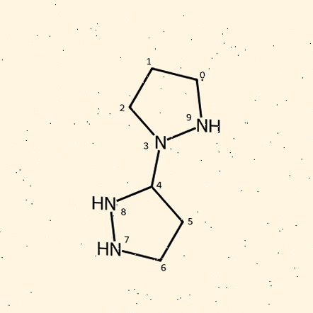 [CH]1CCN(C2CCNN2)N1